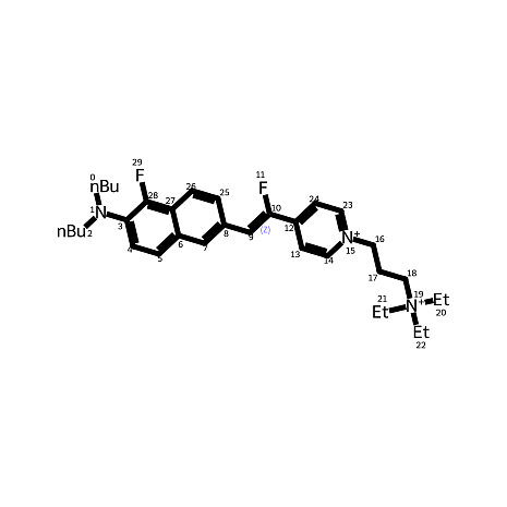 CCCCN(CCCC)c1ccc2cc(/C=C(\F)c3cc[n+](CCC[N+](CC)(CC)CC)cc3)ccc2c1F